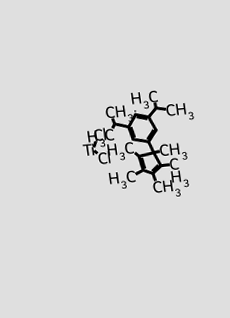 CC1=C(C)C(C)(c2cc(C(C)C)[c]c(C(C)C)c2)C(C)=C1C.[Cl][Ti][Cl]